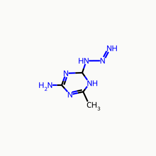 CC1=NC(N)=NC(NN=N)N1